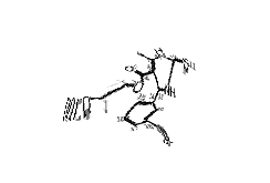 COCCOC(=O)C1=C(C)NC(=S)NC1c1cccc(Br)c1